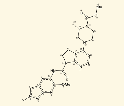 COc1nc2nn(C)cc2cc1NC(=O)N1CCc2c(N3CCN(C(=O)OC(C)(C)C)[C@@H](C)C3)ccnc21